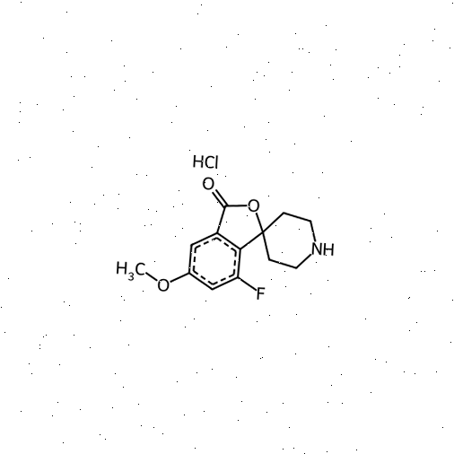 COc1cc(F)c2c(c1)C(=O)OC21CCNCC1.Cl